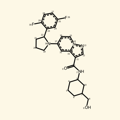 O=C(NC1CCCC(CO)C1)c1cnn2ccc(N3CCCC3c3cc(F)ccc3F)cc12